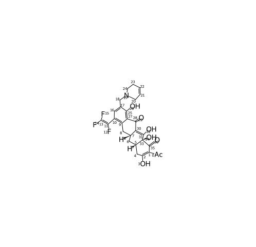 CC(=O)C1=C(O)C[C@@H]2C[C@@H]3Cc4c(C(F)=C(F)F)cc(CN5CC=CCC5)c(O)c4C(=O)C3=C(O)[C@]2(O)C1=O